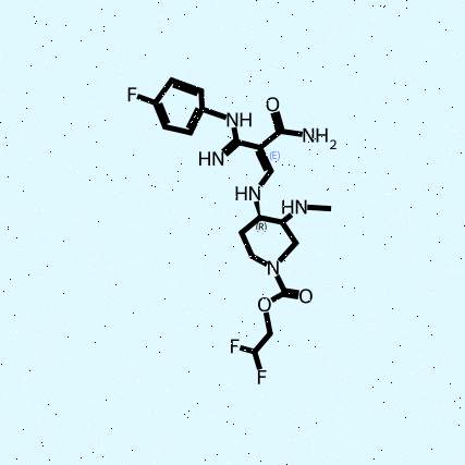 CNC1CN(C(=O)OCC(F)F)CC[C@H]1N/C=C(\C(=N)Nc1ccc(F)cc1)C(N)=O